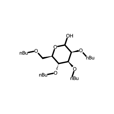 CCCCOC[C@H]1OC(O)[C@@H](OCCCC)[C@@H](OCCCC)[C@@H]1OCCCC